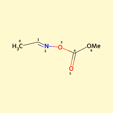 C/C=N/OC(=O)OC